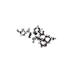 COC(=O)C1=C(C(=O)NC2CCN(C)C2)C2C=CC1(C(Cc1ccccc1)Nc1cc(F)cc(F)c1)O2